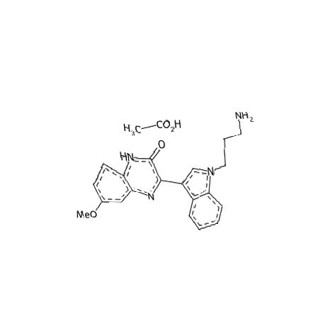 CC(=O)O.COc1ccc2[nH]c(=O)c(-c3cn(CCCN)c4ccccc34)nc2c1